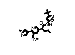 CCCC(C(=O)Nc1cc(C(C)(C)C)no1)c1cnc(-c2cnn(C)c2)c(/C=N\C)c1